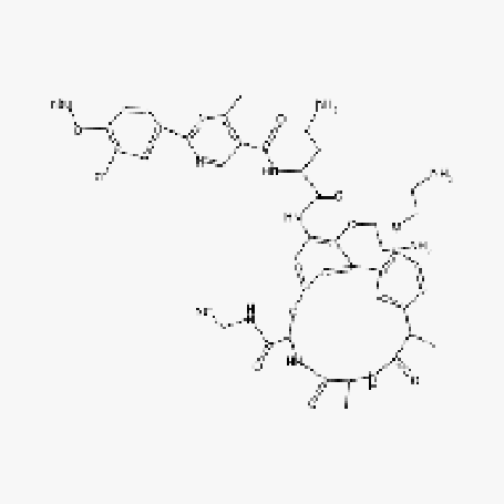 CCCCOc1ccc(-c2ncc(C(=O)NC(CCN)C(=O)Nc3cc4cc(c3OCCN)-c3cc(ccc3OCCN)C(C)C(=O)NC(C)C(=O)NC(C(=O)NCC#N)C4)c(C)n2)cc1Cl